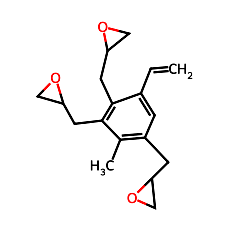 C=Cc1cc(CC2CO2)c(C)c(CC2CO2)c1CC1CO1